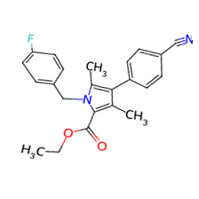 CCOC(=O)c1c(C)c(-c2ccc(C#N)cc2)c(C)n1Cc1ccc(F)cc1